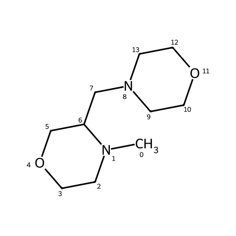 CN1CCOCC1CN1CCOCC1